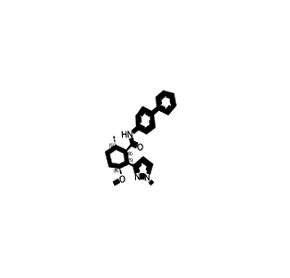 CO[C@@H]1CC[C@H](C)[C@@H](C(=O)Nc2ccc(-c3ccccc3)cc2)[C@H]1c1ccn(C)n1